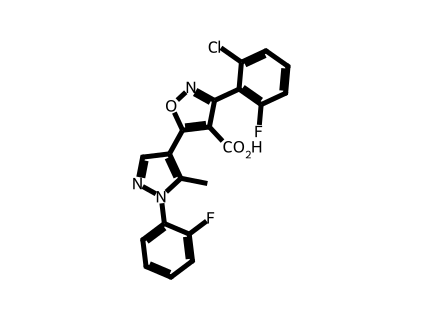 Cc1c(-c2onc(-c3c(F)cccc3Cl)c2C(=O)O)cnn1-c1ccccc1F